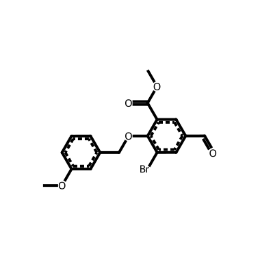 COC(=O)c1cc(C=O)cc(Br)c1OCc1cccc(OC)c1